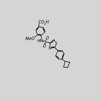 COc1cc(C(=O)O)ccc1NS(=O)(=O)c1csc(-c2ccc(C3CCC3)cc2)n1